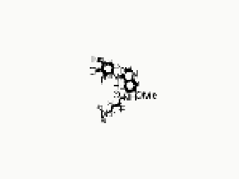 COc1cc2ncnc(Nc3ccc(Br)c(Cl)c3F)c2cc1NC(=O)C(F)=CCN(C)C